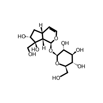 OC[C@H]1O[C@@H](O[C@@H]2OC=C[C@H]3C[C@@H](O)[C@@](O)(CO)[C@@H]23)[C@H](O)[C@@H](O)[C@@H]1O